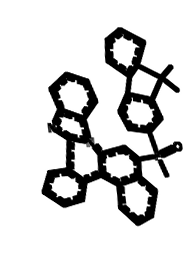 CC1(C)c2ccccc2-c2ccc(P(C)(=O)c3cc4c(c5ccccc35)c3ccccc3c3nc5ccccc5n43)cc21